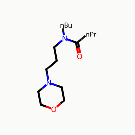 CCCCN(CCCN1CCOCC1)C(=O)CCC